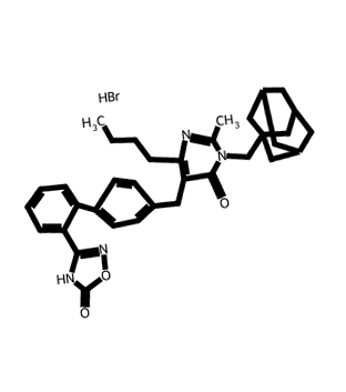 Br.CCCCc1nc(C)n(CC23CC4CC(CC(C4)C2)C3)c(=O)c1Cc1ccc(-c2ccccc2-c2noc(=O)[nH]2)cc1